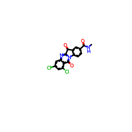 CNC(=O)c1ccc2c(c1)C(=O)c1nc3cc(Cl)cc(Cl)c3c(=O)n1-2